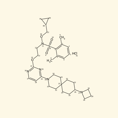 Cc1cccc(C)c1S(=O)(=O)N(CCOc1nccc(N2CCC3(CCC(N4CCC4)CC3)CC2)n1)OCC1CC1.Cl